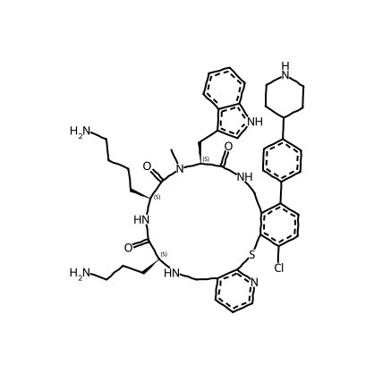 CN1C(=O)[C@H](CCCCN)NC(=O)[C@H](CCCN)NCc2cccnc2Sc2c(Cl)ccc(-c3ccc(C4CCNCC4)cc3)c2CNC(=O)[C@@H]1Cc1c[nH]c2ccccc12